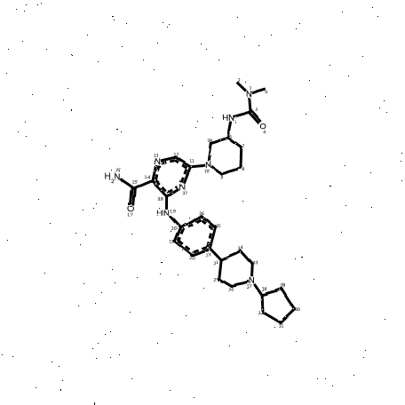 CN(C)C(=O)NC1CCCN(c2cnc(C(N)=O)c(Nc3ccc(C4CCN(C5CCCC5)CC4)cc3)n2)C1